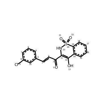 O=C(/C=C/c1cccc(Cl)c1)C1=C(O)c2ccccc2S(=O)(=O)N1